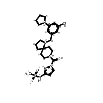 CS(=O)(=O)Nc1ccn(C(=O)N2CCC3(CCCN3Cc3cc(Cl)cc(N4CCCC4)c3)CC2)n1